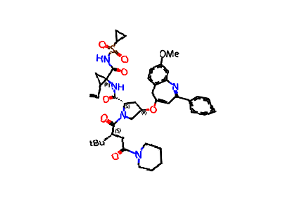 C=CC1C[C@]1(NC(=O)[C@@H]1C[C@@H](OC2=CC(c3ccccc3)=Nc3cc(OC)ccc3C2)CN1C(=O)[C@@H](CC(=O)N1CCCCC1)C(C)(C)C)C(=O)NS(=O)(=O)C1CC1